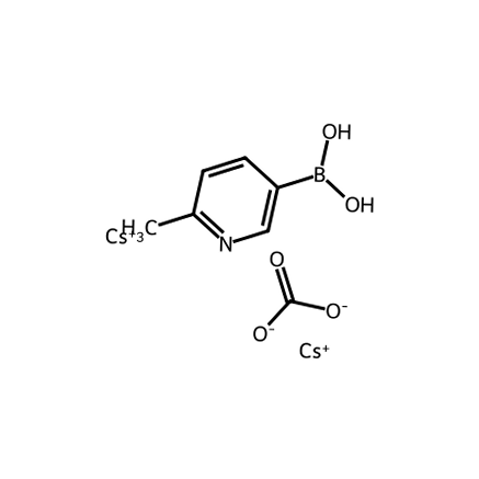 Cc1ccc(B(O)O)cn1.O=C([O-])[O-].[Cs+].[Cs+]